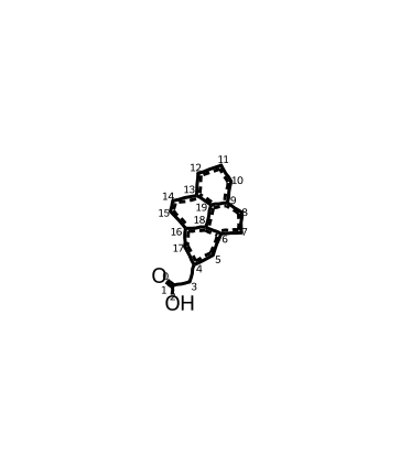 O=C(O)Cc1cc2ccc3cccc4ccc(c1)c2c34